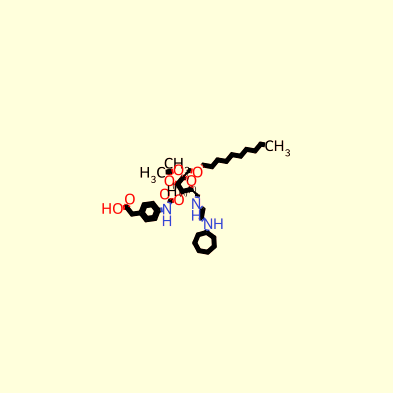 CCCCCCCCCCOC[C@@]12O[C@@H](CNCCNC3CCCCCC3)[C@@H](OC(=O)Nc3ccc(CC(=O)O)cc3)[C@@H]1OC(C)(C)O2